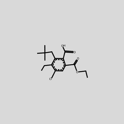 CCOC(=O)c1cc(Cl)c(CC)c(CC(C)(C)C)c1C(=O)O